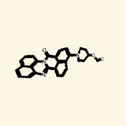 O=COC1CCN(c2ccc3c(=O)n4c5cccc6cccc(nc4c4cccc2c34)c65)CC1